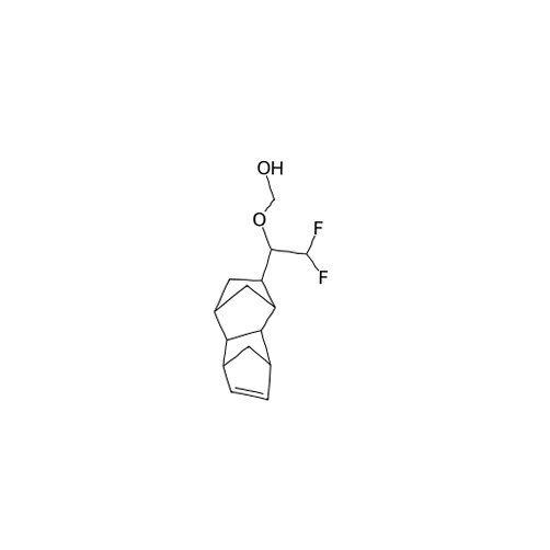 OCOC(C(F)F)C1CC2CC1C1C3C=CC(C3)C21